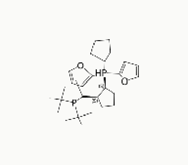 CC([C@@H]1CCC[C@@H]1[PH](c1ccco1)(c1ccco1)C1CCCC1)P(C(C)(C)C)C(C)(C)C